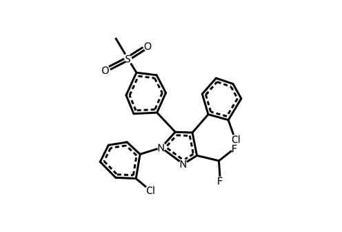 CS(=O)(=O)c1ccc(-c2c(-c3ccccc3Cl)c(C(F)F)nn2-c2ccccc2Cl)cc1